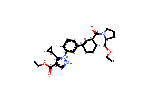 CCOCC1CCCN1C(=O)C1C=C(c2cccc(-n3ncc(C(=O)OCC)c3C3CC3)c2)CCC1